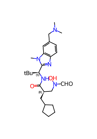 CN(C)Cc1ccc2nc([C@@H](NC(=O)[C@H](CC3CCCC3)CN(O)C=O)C(C)(C)C)n(C)c2c1